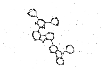 c1ccc(-c2cc(-c3ccccc3)nc(-c3cccc4sc5c(-c6ccc7c8ccccc8n(-c8ccccc8)c7c6)cccc5c34)n2)cc1